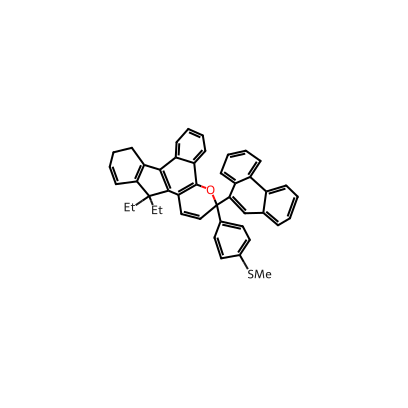 CCC1(CC)C2=C(CCC=C2)c2c1c1c(c3ccccc23)OC(c2ccc(SC)cc2)(c2cc3ccccc3c3ccccc23)C=C1